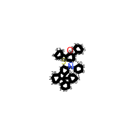 c1ccc(N(c2ccc3c(c2)C(c2ccccc2)(c2ccccc2)c2ccccc2-3)c2cc3c4ccccc4oc3c3c2sc2ccccc23)cc1